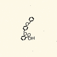 O=C(O)c1ccccc1OCc1ccc(OCc2ccccc2)cc1